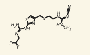 CN/C(=N/C#N)NCCSCc1csc(N/C(N)=N\CC(F)F)n1